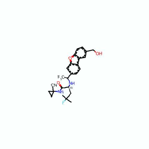 CC(C)(F)C[C@H](NC(c1ccc2c(c1)oc1ccc(CO)cc12)C(F)(F)F)C(=O)NC1(C#N)CC1